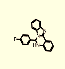 Fc1ccc(C2Nc3ccccc3-c3nc4ccccc4n32)cc1